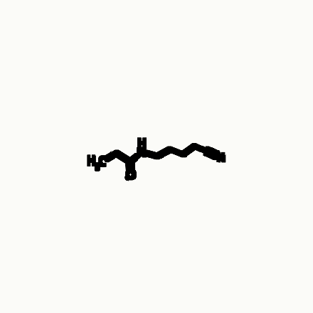 CCC(=O)NCCCCC#N